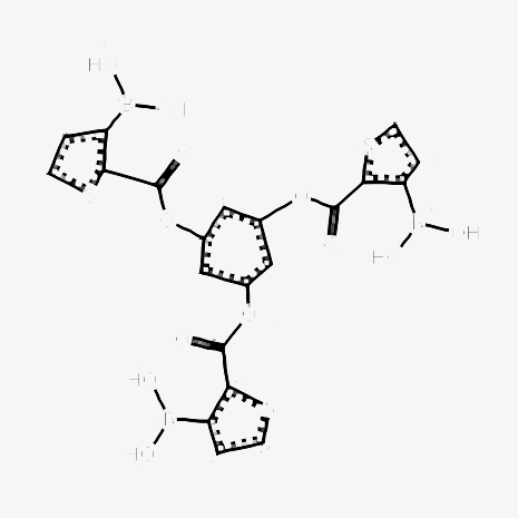 O=C(Oc1cc(OC(=O)c2sccc2B(O)O)cc(OC(=O)c2sccc2B(O)O)c1)c1sccc1B(O)O